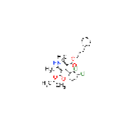 CC1=C(C(=O)OCCCc2ccccc2)C(c2cccc(Cl)c2Cl)C(C(=O)OC(C)C)=C(C)N1